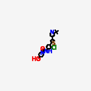 CC(C)(C)c1cc(-c2csc(-c3ccc(NC(=O)N4CCC(O)CC4)cc3Cl)c2)ccn1